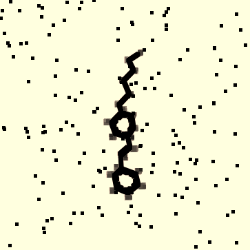 CCCCCCc1ccc(C=Cc2cc[c]cc2)cc1